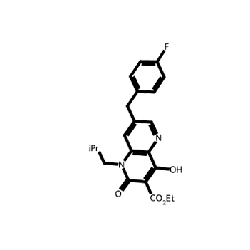 CCOC(=O)c1c(O)c2ncc(Cc3ccc(F)cc3)cc2n(CC(C)C)c1=O